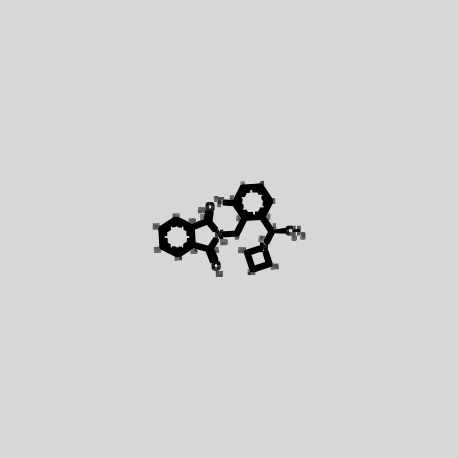 C[C@H](c1cccc(F)c1CN1C(=O)c2ccccc2C1=O)N1CCC1